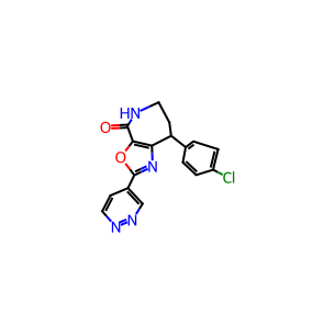 O=C1NCCC(c2ccc(Cl)cc2)c2nc(-c3ccnnc3)oc21